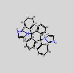 c1ccc(C2(n3ccnc3)c3ccccc3C(c3ccccc3)(n3ccnc3)c3ccccc32)cc1